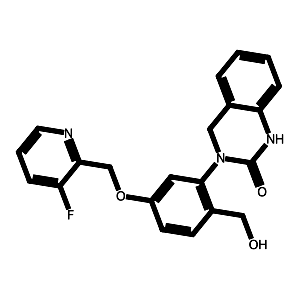 O=C1Nc2ccccc2CN1c1cc(OCc2ncccc2F)ccc1CO